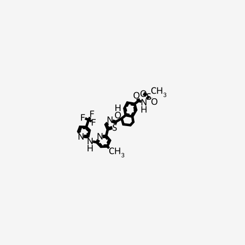 Cc1cc(Nc2cc(C(F)(F)F)ccn2)nc(-c2cnc(C3(O)CCCc4cc(C(=O)NS(C)(=O)=O)ccc43)s2)c1